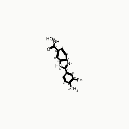 Cc1ccc(-c2nc3ccc(C(=O)NO)cc3[nH]2)cc1F